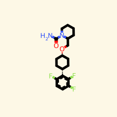 NC(=O)N1CCCCC1CO[C@H]1CC[C@@H](c2c(F)ccc(F)c2F)CC1